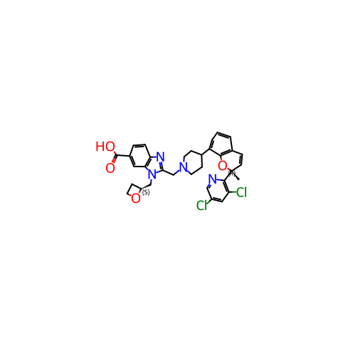 C[C@]1(c2ncc(Cl)cc2Cl)C=Cc2cccc(C3CCN(Cc4nc5ccc(C(=O)O)cc5n4C[C@@H]4CCO4)CC3)c2O1